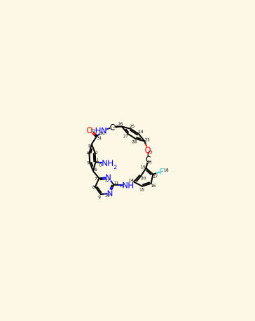 Nc1cc2ccc1-c1ccnc(n1)Nc1ccc(F)c(c1)COc1ccc(cc1)CNC2=O